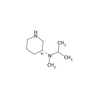 CC(C)N(C)[C@@H]1CCCNC1